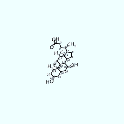 CC(CCC(=O)O)C1CCC2C3C(CC[C@]12C)[C@@]1(C)CC[C@@H](O)CC1C[C@H]3O